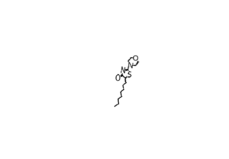 CCCCCCC/C=C1/SC(N2CCOCC2)=NC1=O